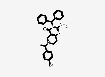 CC(c1ccc(Br)cc1)N1CCc2nc(N)n(C(c3ccccc3)c3ccccc3)c(=O)c2C1